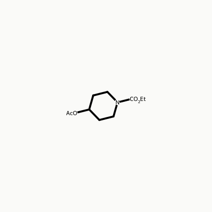 CCOC(=O)N1CCC(OC(C)=O)CC1